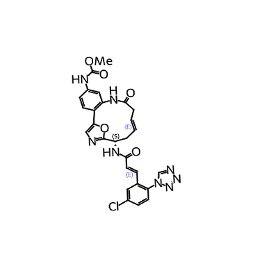 COC(=O)Nc1ccc2c(c1)NC(=O)C/C=C/C[C@H](NC(=O)/C=C/c1cc(Cl)ccc1-n1cnnn1)c1ncc-2o1